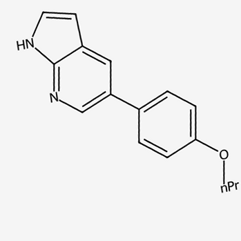 CCCOc1ccc(-c2cnc3[nH]ccc3c2)cc1